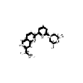 C[C@@H]1CN(c2cccc(-c3ccc4cnc([C@@H](C)N)cc4n3)n2)C[C@H](C)O1